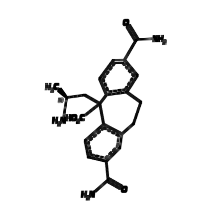 C[C@H](N)CC1(C(=O)O)c2ccc(C(N)=O)cc2CCc2cc(C(N)=O)ccc21